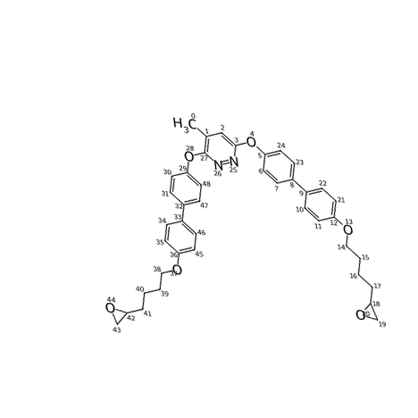 Cc1cc(Oc2ccc(-c3ccc(OCCCCC4CO4)cc3)cc2)nnc1Oc1ccc(-c2ccc(OCCCCC3CO3)cc2)cc1